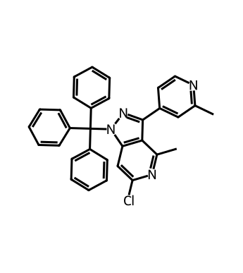 Cc1cc(-c2nn(C(c3ccccc3)(c3ccccc3)c3ccccc3)c3cc(Cl)nc(C)c23)ccn1